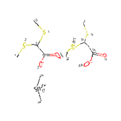 CSC(SC)C(=O)[O-].CSC(SC)C(=O)[O-].[CH3][Sn+2][CH3]